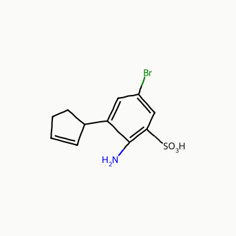 Nc1c(C2C=CCC2)cc(Br)cc1S(=O)(=O)O